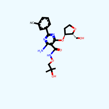 CC(C)(O)CONC(=O)c1c(N)nc(-c2cccc(C#N)c2)nc1O[C@H]1CCO[C@@H]1CO